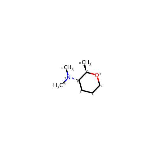 C[C@H]1OCCC[C@@H]1N(C)C